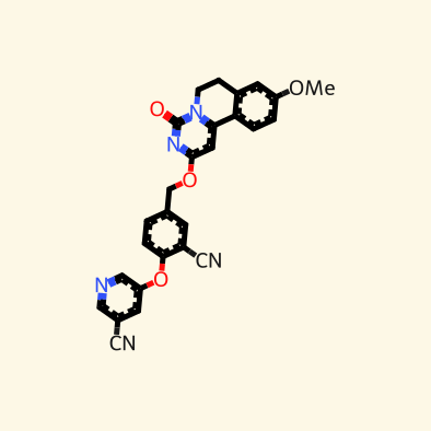 COc1ccc2c(c1)CCn1c-2cc(OCc2ccc(Oc3cncc(C#N)c3)c(C#N)c2)nc1=O